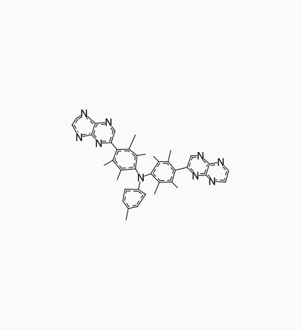 Cc1ccc(N(c2c(C)c(C)c(-c3cnc4nccnc4n3)c(C)c2C)c2c(C)c(C)c(-c3cnc4nccnc4n3)c(C)c2C)cc1